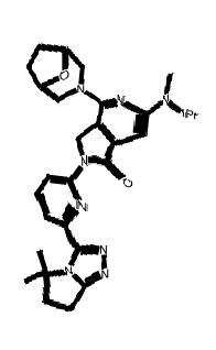 CC(C)N(C)c1cc2c(c(N3CC4CCC(C3)O4)n1)CN(c1cccc(-c3nnc4n3C(C)(C)CC4)n1)C2=O